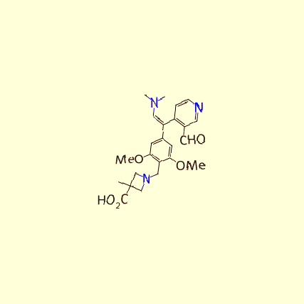 COc1cc(/C(=C/N(C)C)c2ccncc2C=O)cc(OC)c1CN1CC(C)(C(=O)O)C1